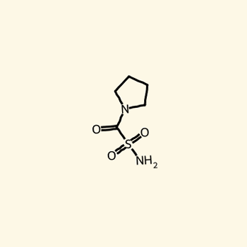 NS(=O)(=O)C(=O)N1CCCC1